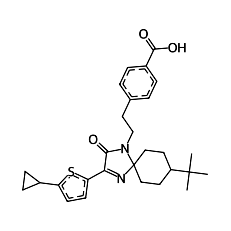 CC(C)(C)C1CCC2(CC1)N=C(c1ccc(C3CC3)s1)C(=O)N2CCc1ccc(C(=O)O)cc1